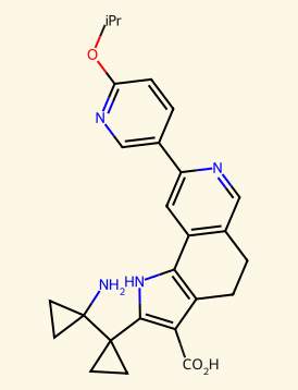 CC(C)Oc1ccc(-c2cc3c(cn2)CCc2c-3[nH]c(C3(C4(N)CC4)CC3)c2C(=O)O)cn1